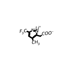 Cc1cc(C(F)(F)F)nnc1CC(=O)[O-].[Li+]